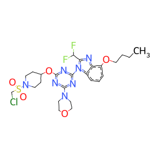 CCCCOc1cccc2c1nc(C(F)F)n2-c1nc(OC2CCN(S(=O)(=O)CCl)CC2)nc(N2CCOCC2)n1